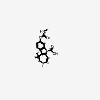 CNC(=O)Oc1ccc2c3c(n(C(=O)O)c2c1)C=CNCC3(C)C